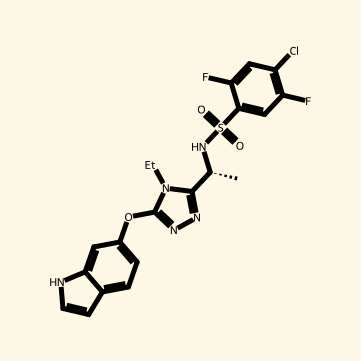 CCn1c(Oc2ccc3cc[nH]c3c2)nnc1[C@@H](C)NS(=O)(=O)c1cc(F)c(Cl)cc1F